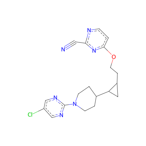 N#Cc1nccc(OCCC2CC2C2CCN(c3ncc(Cl)cn3)CC2)n1